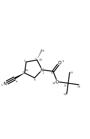 C[C@H]1C[C@H](C#N)CN1C(=O)OC(C)(C)C